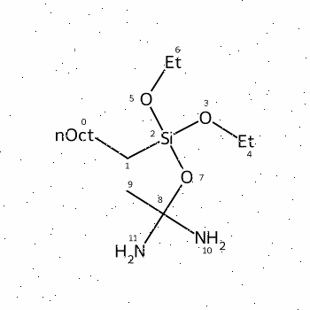 CCCCCCCCC[Si](OCC)(OCC)OC(C)(N)N